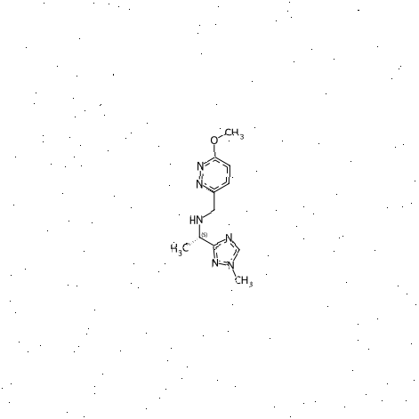 COc1ccc(CN[C@@H](C)c2ncn(C)n2)nn1